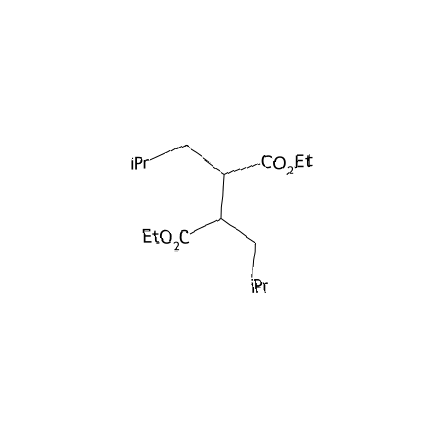 CCOC(=O)C(CC(C)C)C(CC(C)C)C(=O)OCC